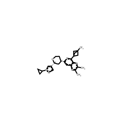 Cc1nc2cc([C@H]3CCO[C@@H](c4cnn(C5CC5)c4)C3)nc(C34CC(C(F)(F)F)(C3)C4)c2nc1C